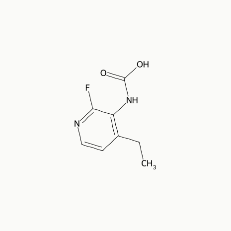 CCc1ccnc(F)c1NC(=O)O